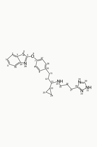 c1ccc2sc(Oc3ccc(CCC(NCCCc4nc[nH]n4)C4CC4)cc3)nc2c1